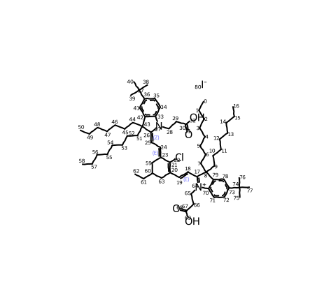 CCCCCCCCC1(CCCCCCCC)C(/C=C/C2=C(Cl)C(=C/C=C3\N(CCC(=O)O)c4ccc(C(C)(C)C)cc4C3(CCCCCCC)CCCCCCCC)/CC(CC)C2)=[N+](CCC(=O)O)c2ccc(C(C)(C)C)cc21.[I-]